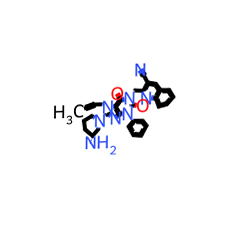 CC#CCn1c(N2CCC[C@@H](N)C2)nc2c1c(=O)n(Cc1nc3ccccc3cc1C#N)c(=O)n2-c1ccccc1